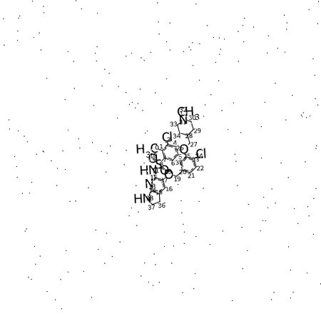 Cc1c(Cl)cccc1S(=O)(=O)Nc1nc2c(cc1OCc1ccc(Cl)c(OCC3CCN(C)CC3)c1)CCN2